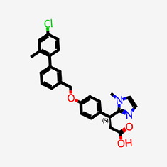 Cc1cc(Cl)ccc1-c1cccc(COc2ccc([C@H](CC(=O)O)c3nccn3C)cc2)c1